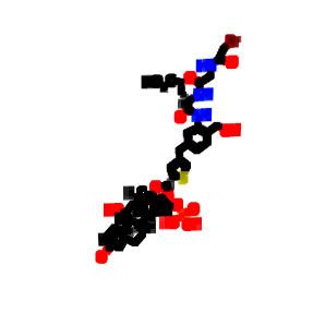 C[C@]12C=CC(=O)C=C1CC[C@@H]1[C@@H]2[C@@H](O)C[C@@]2(C)[C@H]1C[C@H]1O[C@@H](c3cc(Cc4ccc(CO)c(NC(=O)[C@H](CCC(=O)O)NC(=O)CNC(=O)CBr)c4)cs3)O[C@]12C(=O)COP(=O)(O)O